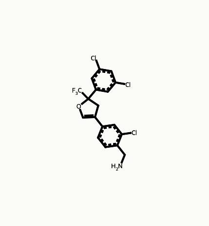 NCc1ccc(C2=COC(c3cc(Cl)cc(Cl)c3)(C(F)(F)F)C2)cc1Cl